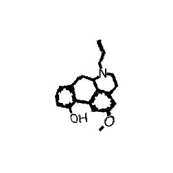 C=CCN1CCc2cc(OC)cc3c2C1Cc1cccc(O)c1-3